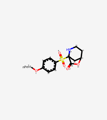 CCCCCOc1ccc(S(=O)(=O)C23CC(CCN2)OC3=O)cc1